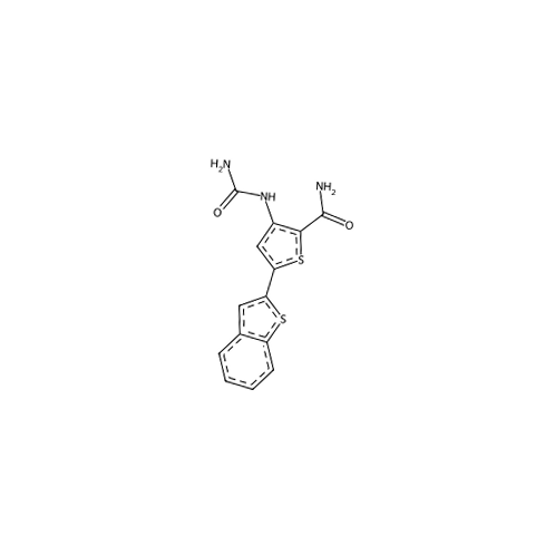 NC(=O)Nc1cc(-c2cc3ccccc3s2)sc1C(N)=O